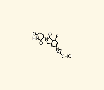 O=CC1CN(c2cc(F)c3c(c2)CN([C@H]2CCC(=O)NC2=O)C3=O)C1